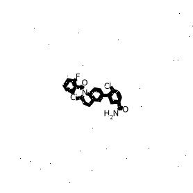 CC1CCc2cc(-c3cc(C(N)=O)ccc3Cl)ccc2N1C(=O)c1c(F)cccc1Cl